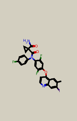 Cc1cc2c(Oc3cc(F)c(N(C(=O)C4(C(N)=O)CC4)c4ccc(F)cc4)cc3F)ccnc2cc1I